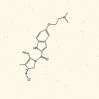 C=CC1=C(C)[C@H](CCl)CN1C(=O)c1cc2cc(OCCN(C)C)ccc2[nH]1